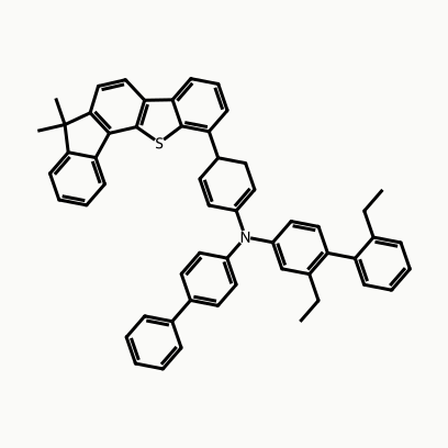 CCc1ccccc1-c1ccc(N(C2=CCC(c3cccc4c3sc3c5c(ccc34)C(C)(C)c3ccccc3-5)C=C2)c2ccc(-c3ccccc3)cc2)cc1CC